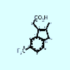 CC1=C(CC(=O)O)c2cc(C(F)(F)F)ccc2C1